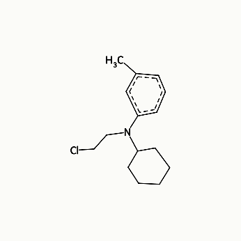 Cc1cccc(N(CCCl)C2CCCCC2)c1